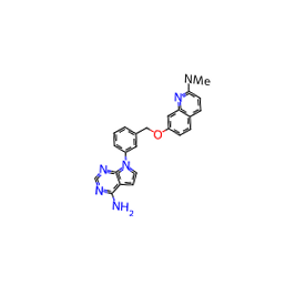 CNc1ccc2ccc(OCc3cccc(-n4ccc5c(N)ncnc54)c3)cc2n1